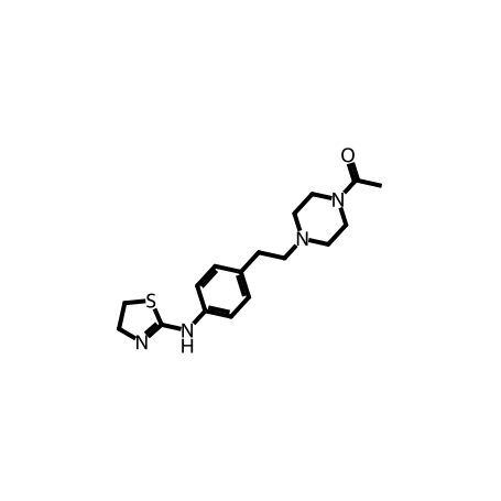 CC(=O)N1CCN(CCc2ccc(NC3=NCCS3)cc2)CC1